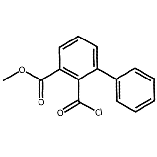 COC(=O)c1cccc(-c2ccccc2)c1C(=O)Cl